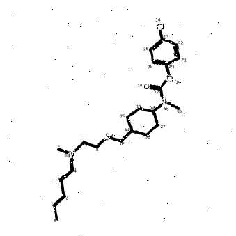 CCCCCN(C)CCSCC1CCC(N(C)C(=O)Oc2ccc(Cl)cc2)CC1